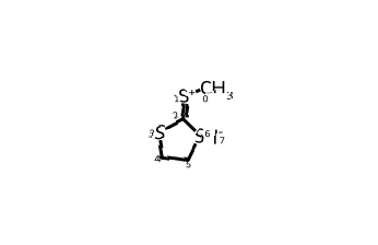 C[S+]=C1SCCS1.[I-]